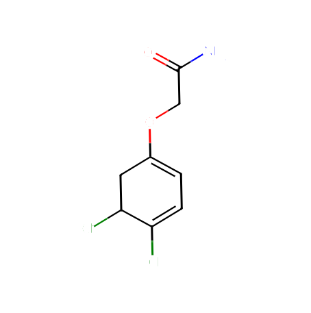 NC(=O)COC1=CC=C(Cl)C(Cl)C1